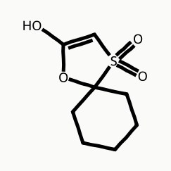 O=S1(=O)C=C(O)OC12CCCCC2